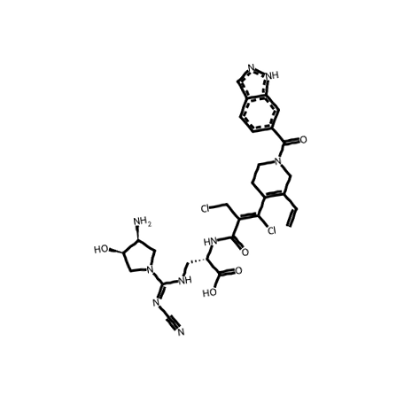 C=CC1=C(/C(Cl)=C(\CCl)C(=O)N[C@@H](CN/C(=N\C#N)N2C[C@@H](O)[C@@H](N)C2)C(=O)O)CCN(C(=O)c2ccc3cn[nH]c3c2)C1